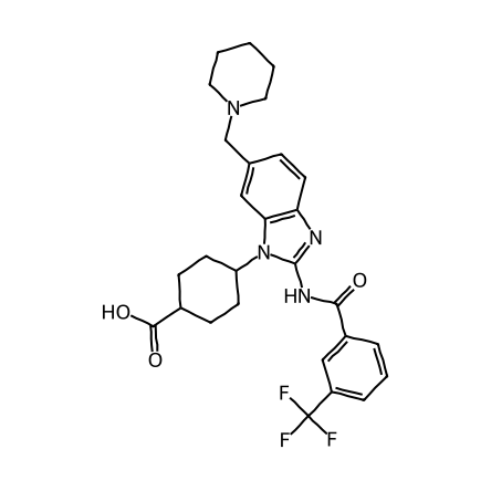 O=C(Nc1nc2ccc(CN3CCCCC3)cc2n1C1CCC(C(=O)O)CC1)c1cccc(C(F)(F)F)c1